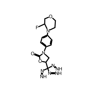 N=NC(N=N)(N=N)C1CN(c2ccc(N3CCOCC3F)cc2)C(=O)O1